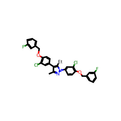 CCc1c(-c2ccc(OCc3cccc(F)c3)c(Cl)c2)c(C)nn1-c1ccc(OCc2cccc(F)c2)c(Cl)c1